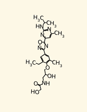 CCc1cc(-c2noc(-c3cc(C)nc(NC(C)C)n3)n2)cc(C)c1OCC(O)CNC(=O)CO